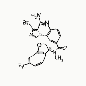 CN(C(=O)c1ccc2nc(N)c3c(Br)ncn3c2c1)[C@@H]1COc2cc(C(F)(F)F)ccc21